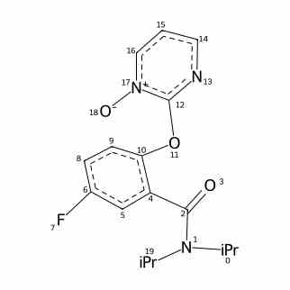 CC(C)N(C(=O)c1cc(F)ccc1Oc1nccc[n+]1[O-])C(C)C